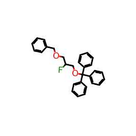 FC(COCc1ccccc1)COC(c1ccccc1)(c1ccccc1)c1ccccc1